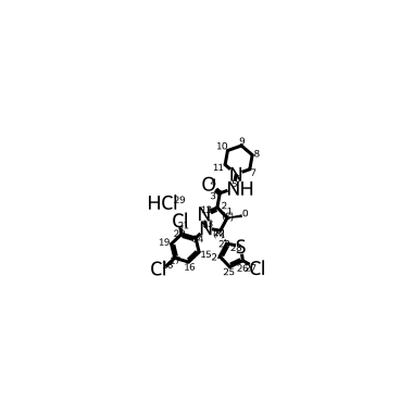 C[C@@H]1C(C(=O)NN2CCCCC2)=NN(c2ccc(Cl)cc2Cl)[C@H]1c1ccc(Cl)s1.Cl